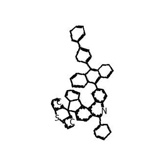 C1=CCCC(C2=CC=C(C3=C4CCC=CC4=C(c4ccc5nc(C6=CC=CCC6)c6ccc7c(c6c5c4)C4C=CC=CC4C74c5ccccc5Sc5ccccc54)C4C=CC=CC34)CC2)=C1